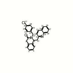 O=C1Cc2ccccc2C(Cc2ccc3ccccc3n2)N1Cc1ccc(Cl)cc1